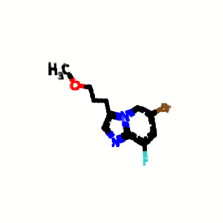 COCCCc1cnc2c(F)cc(Br)cn12